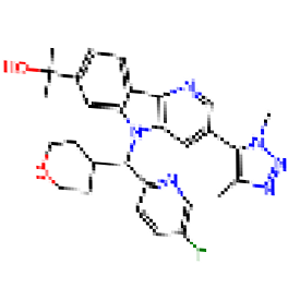 Cc1nnn(C)c1-c1cnc2c3ccc(C(C)(C)O)cc3n(C(c3ccc(F)cn3)C3CCOCC3)c2c1